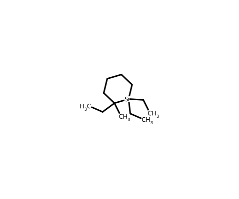 CCC1(C)CCCC[Si]1(CC)CC